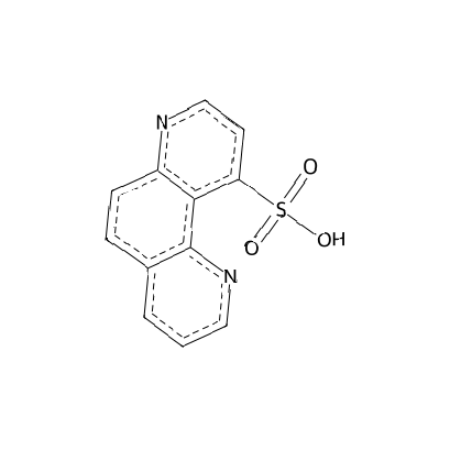 O=S(=O)(O)c1ccnc2ccc3cccnc3c12